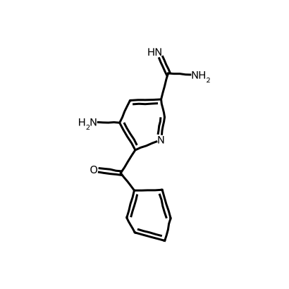 N=C(N)c1cnc(C(=O)c2ccccc2)c(N)c1